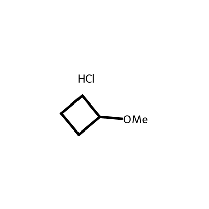 COC1CCC1.Cl